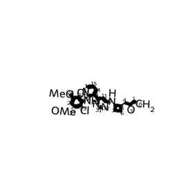 C=CC(=O)C[C@H]1CC[C@H]1Nc1cc(-c2cccnc2Nc2c(Cl)c(OC)cc(OC)c2Cl)ncn1